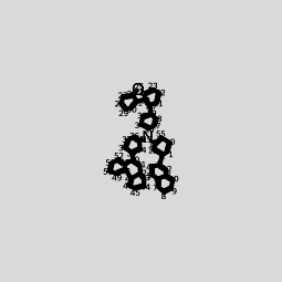 c1cc(-c2ccc3ccccc3c2)cc(N(c2ccc(-c3cccc4oc5ccccc5c34)cc2)c2cccc(-c3cc4ccccc4c4ccccc34)c2)c1